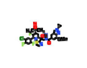 COc1cc(C(=O)NC[C@](O)(c2cc(C(C)(C)O)c(F)c(-c3cc(Cl)c(F)cc3F)n2)c2nccs2)cc2cn(C3CC3)nc12